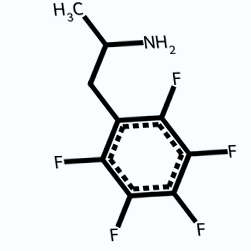 CC(N)Cc1c(F)c(F)c(F)c(F)c1F